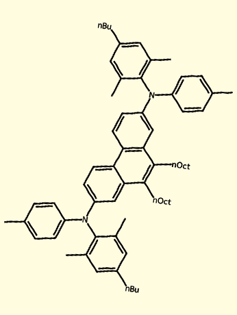 CCCCCCCCc1c(CCCCCCCC)c2cc(N(c3ccc(C)cc3)c3c(C)cc(CCCC)cc3C)ccc2c2ccc(N(c3ccc(C)cc3)c3c(C)cc(CCCC)cc3C)cc12